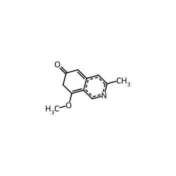 COC1=c2cnc(C)cc2=CC(=O)C1